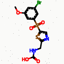 COc1cc(Br)cc(S(=O)(=O)c2cnc(CNC(=O)O)s2)c1